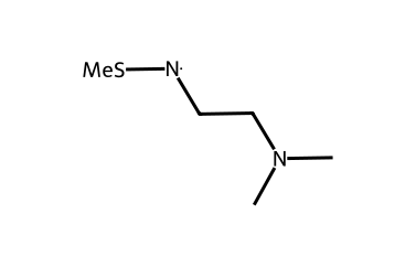 CS[N]CCN(C)C